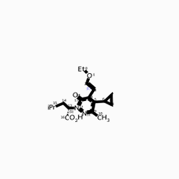 CCO/C=C/c1c(C2CC2)c(C)nn([C@@H](CC(C)C)C(=O)O)c1=O